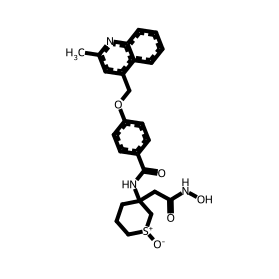 Cc1cc(COc2ccc(C(=O)NC3(CC(=O)NO)CCC[S+]([O-])C3)cc2)c2ccccc2n1